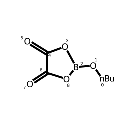 CCCCOB1OC(=O)C(=O)O1